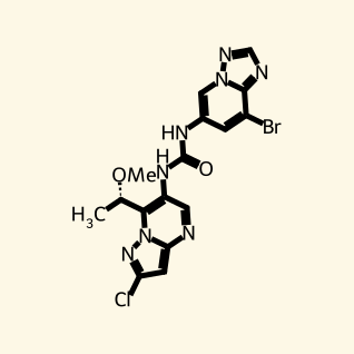 CO[C@@H](C)c1c(NC(=O)Nc2cc(Br)c3ncnn3c2)cnc2cc(Cl)nn12